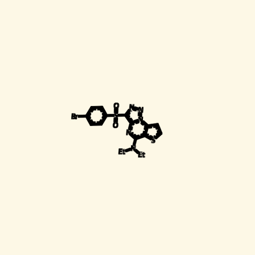 CCN(CC)c1nc2c(S(=O)(=O)c3ccc(Br)cc3)nnn2c2ccsc12